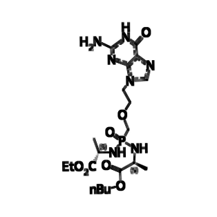 CCCCOC(=O)[C@H](C)NP(=O)(COCCn1cnc2c(=O)[nH]c(N)nc21)N[C@@H](C)C(=O)OCC